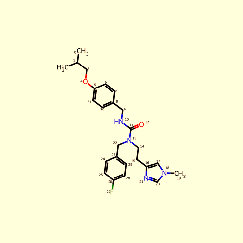 CC(C)COc1ccc(CNC(=O)N(CCc2cn(C)cn2)Cc2ccc(F)cc2)cc1